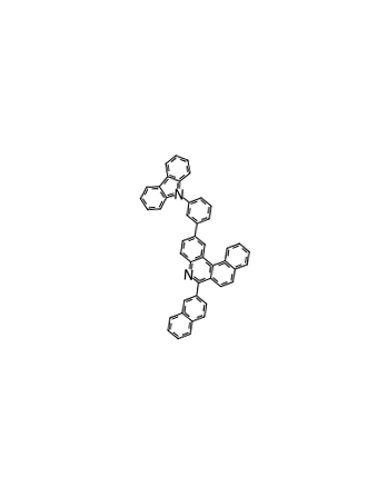 c1cc(-c2ccc3nc(-c4ccc5ccccc5c4)c4ccc5ccccc5c4c3c2)cc(-n2c3ccccc3c3ccccc32)c1